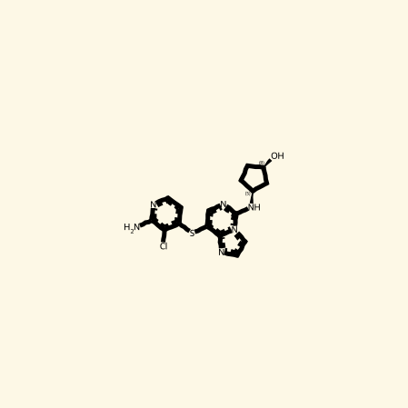 Nc1nccc(Sc2cnc(N[C@H]3CC[C@@H](O)C3)n3ccnc23)c1Cl